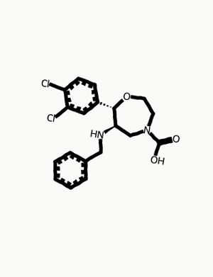 O=C(O)N1CCO[C@@H](c2ccc(Cl)c(Cl)c2)[C@H](NCc2ccccc2)C1